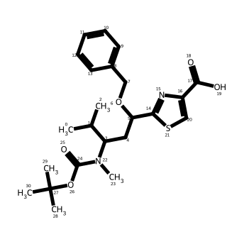 CC(C)C(CC(OCc1ccccc1)c1nc(C(=O)O)cs1)N(C)C(=O)OC(C)(C)C